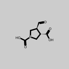 O=C[C@@H]1CN(C(=O)O)C[C@H]1C(=O)O